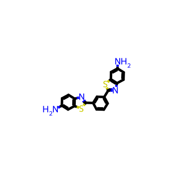 Nc1ccc2nc(-c3cccc(-c4nc5ccc(N)cc5s4)c3)sc2c1